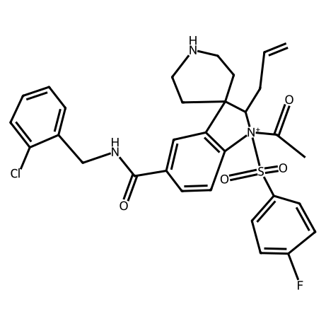 C=CCC1C2(CCNCC2)c2cc(C(=O)NCc3ccccc3Cl)ccc2[N+]1(C(C)=O)S(=O)(=O)c1ccc(F)cc1